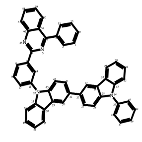 c1ccc(-c2nc(-c3cccc(-n4c5ccccc5c5cc(-c6ccc7c(c6)c6ccccc6n7-c6ccccc6)ccc54)c3)nc3ccccc23)cc1